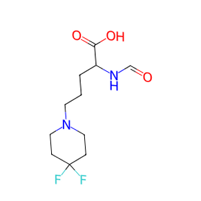 O=CNC(CCCN1CCC(F)(F)CC1)C(=O)O